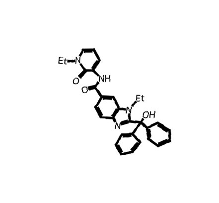 CCn1cccc(NC(=O)c2ccc3nc(C(O)(c4ccccc4)c4ccccc4)n(CC)c3c2)c1=O